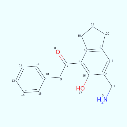 NCc1cc2c(c(C(=O)Cc3ccccc3)c1O)CCC2